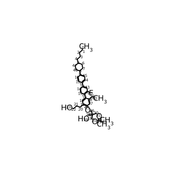 CCCCCC1CCC(c2ccc(-c3ccc(-c4cc(CCCO)c(OCC5(CO)COC(C)(C)OC5)cc4CC)c(F)c3)cc2)CC1